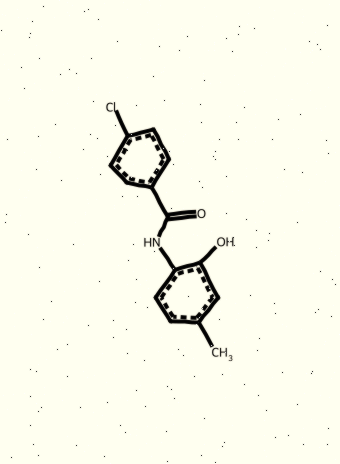 Cc1ccc(NC(=O)c2ccc(Cl)cc2)c(O)c1